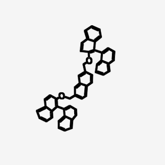 c1ccc2c(-c3c(OCc4ccc5ccc(COc6ccc7ccccc7c6-c6cccc7ccccc67)cc5c4)ccc4ccccc34)cccc2c1